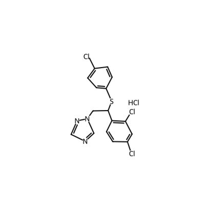 Cl.Clc1ccc(SC(Cn2cncn2)c2ccc(Cl)cc2Cl)cc1